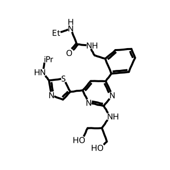 CCNC(=O)NCc1ccccc1-c1cc(-c2cnc(NC(C)C)s2)nc(NC(CO)CO)n1